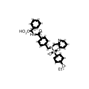 CCOc1ccc(S(=O)(=O)N(Cc2ccc(C(=O)NC(C(=O)O)c3ccccc3)cc2)Cc2ccccn2)cc1